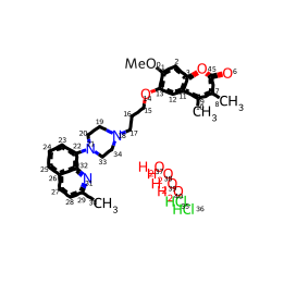 COc1cc2oc(=O)c(C)c(C)c2cc1OCCCN1CCN(c2cccc3ccc(C)nc23)CC1.Cl.Cl.O.O.O.O